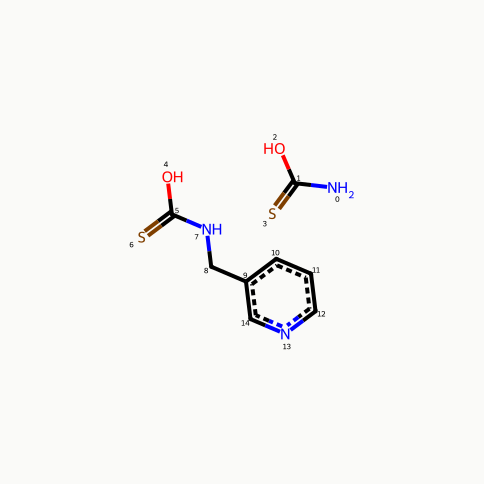 NC(O)=S.OC(=S)NCc1cccnc1